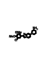 COc1cc(OC)c(-c2cn3ccc(N4CCC[C@@H](N)C4)cc3n2)cc1Cl